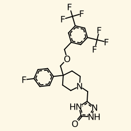 O=c1[nH]nc(CN2CCC(COCc3cc(C(F)(F)F)cc(C(F)(F)F)c3)(c3ccc(F)cc3)CC2)[nH]1